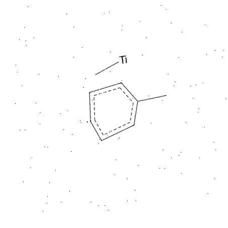 Cc1cc[c]cc1.[CH3][Ti]